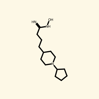 N=C(CCCC1CCN(C2CCCC2)CC1)NO